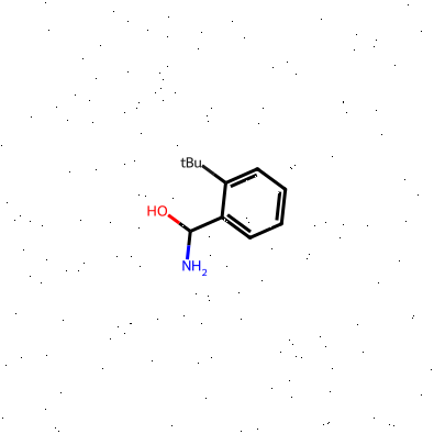 CC(C)(C)c1ccccc1C(N)O